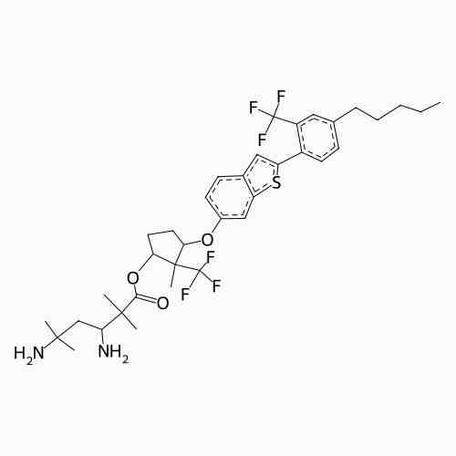 CCCCCc1ccc(-c2cc3ccc(OC4CCC(OC(=O)C(C)(C)C(N)CC(C)(C)N)C4(C)C(F)(F)F)cc3s2)c(C(F)(F)F)c1